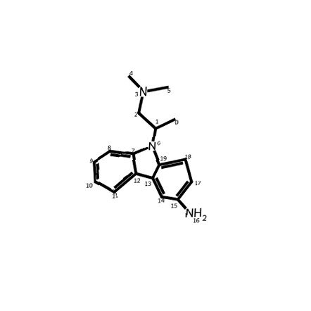 CC(CN(C)C)n1c2ccccc2c2cc(N)ccc21